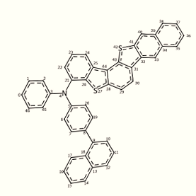 c1ccc(N(c2ccc(-c3cccc4ccccc34)cc2)c2cccc3c2sc2ccc4c5cc6ccccc6cc5sc4c23)cc1